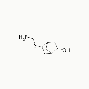 OC1CC2CC1CC2SCP